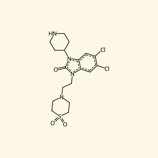 O=c1n(CCN2CCS(=O)(=O)CC2)c2cc(Cl)c(Cl)cc2n1C1CCNCC1